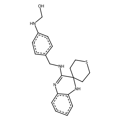 OCNc1ccc(CNC2=Nc3ccccc3NC23CCSCC3)cc1